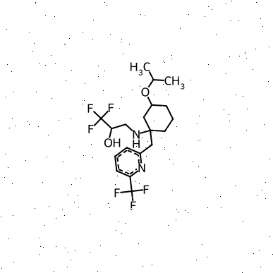 CC(C)OC1CCCC(Cc2cccc(C(F)(F)F)n2)(NCC(O)C(F)(F)F)C1